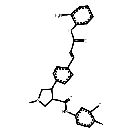 CN1CC(C(=O)Nc2ccc(F)c(F)c2)C(c2ccc(/C=C/C(=O)Nc3ccccc3N)cc2)C1